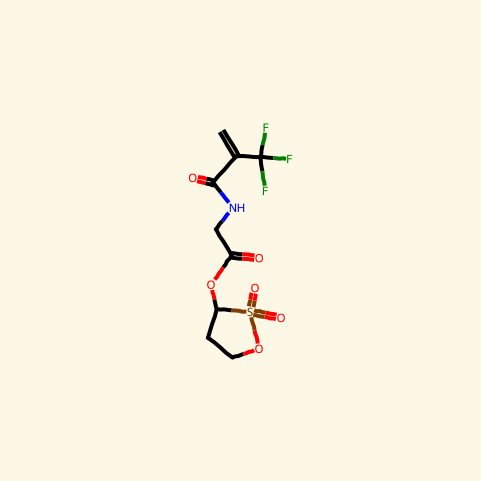 C=C(C(=O)NCC(=O)OC1CCOS1(=O)=O)C(F)(F)F